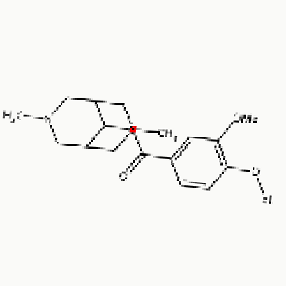 CCOc1ccc(C(=O)OC2C3CN(C)CC2CN(C)C3)cc1OC